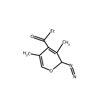 CCC(=O)C1=C(C)C(N=[N])OC=C1C